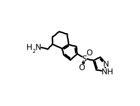 NCC1CCCc2cc(S(=O)(=O)c3cn[nH]c3)ccc21